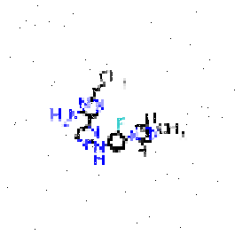 CCCc1ncc(-c2ccnc(Nc3ccc(N4C[C@@H]5C[C@H]4CN5C)c(F)c3)n2)c(N)n1